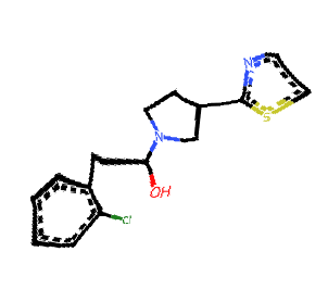 OC(Cc1ccccc1Cl)N1CCC(c2nccs2)C1